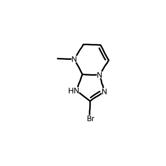 CN1CC=CN2N=C(Br)NC12